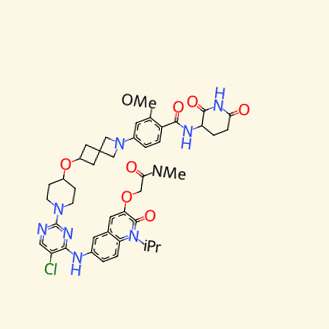 CNC(=O)COc1cc2cc(Nc3nc(N4CCC(OC5CC6(C5)CN(c5ccc(C(=O)NC7CCC(=O)NC7=O)c(OC)c5)C6)CC4)ncc3Cl)ccc2n(C(C)C)c1=O